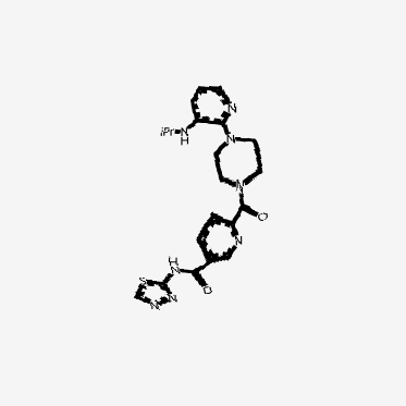 CC(C)Nc1cccnc1N1CCN(C(=O)c2ccc(C(=O)Nc3nncs3)cn2)CC1